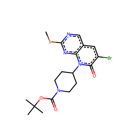 CSc1ncc2cc(Br)c(=O)n(C3CCN(C(=O)OC(C)(C)C)CC3)c2n1